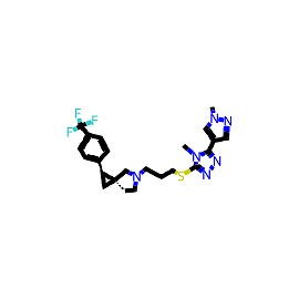 Cn1cc(-c2nnc(SCCCN3CC[C@@]4(C[C@H]4c4ccc(C(F)(F)F)cc4)C3)n2C)cn1